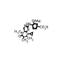 COc1cc(C(=O)O)ccc1Nc1ncc2c(n1)N(C1CC1)C(C)C(C)C(=O)N2C